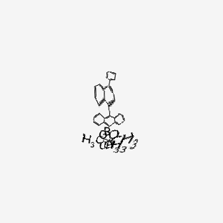 CC1(C)OB(c2c3ccccc3c(-c3ccc(-c4ccccc4)c4ccccc34)c3ccccc23)OC1(C)C